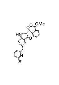 COC(=O)c1ccccc1C(=O)c1c[nH]c2ccc(Cc3cccc(Br)n3)cc2c1=O